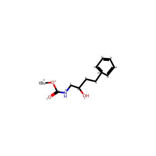 CC(C)(C)OC(=O)N[CH]C(O)CCc1ccccc1